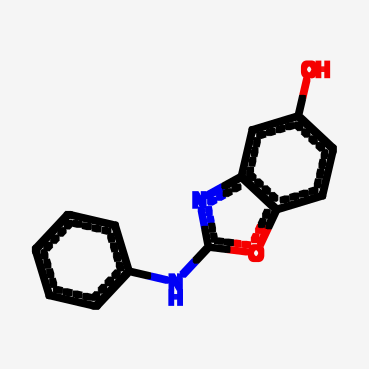 Oc1ccc2oc(Nc3ccccc3)nc2c1